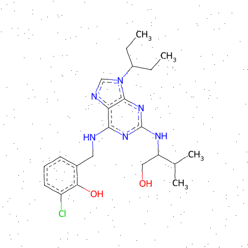 CCC(CC)n1cnc2c(NCc3cccc(Cl)c3O)nc(NC(CO)C(C)C)nc21